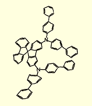 c1ccc(-c2ccc(N(c3ccc(-c4ccccc4)cc3)c3ccc4c(c3)-c3cc(N(c5ccc(-c6ccccc6)cc5)c5ccc(-c6ccccc6)cc5)ccc3C43c4ccccc4-c4ccccc43)cc2)cc1